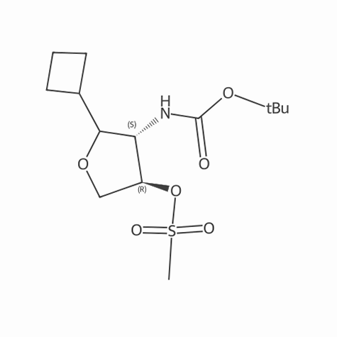 CC(C)(C)OC(=O)N[C@H]1C(C2CCC2)OC[C@@H]1OS(C)(=O)=O